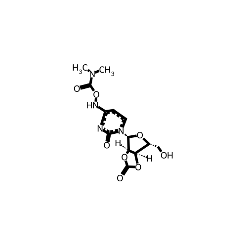 CN(C)C(=O)ONc1ccn([C@@H]2O[C@H](CO)[C@H]3OC(=O)O[C@H]32)c(=O)n1